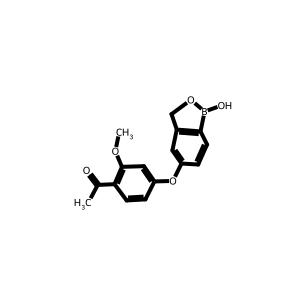 COc1cc(Oc2ccc3c(c2)COB3O)ccc1C(C)=O